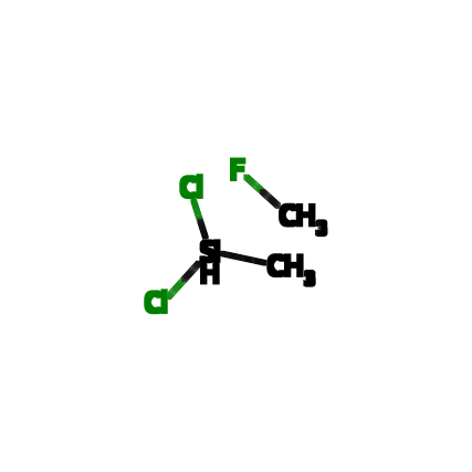 CF.C[SiH](Cl)Cl